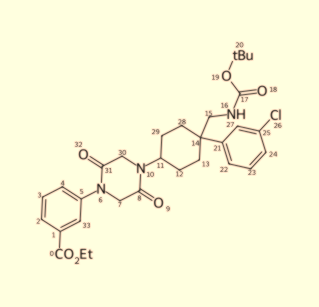 CCOC(=O)c1cccc(N2CC(=O)N(C3CCC(CNC(=O)OC(C)(C)C)(c4cccc(Cl)c4)CC3)CC2=O)c1